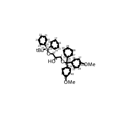 COc1ccc(C(OC[C@H](O)CO[Si](c2ccccc2)(c2ccccc2)C(C)(C)C)(c2ccccc2)c2ccc(OC)cc2)cc1